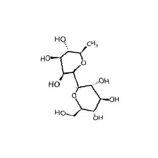 C[C@H]1OC([C]2O[C@H](CO)[C@@H](O)[C@H](O)[C@H]2O)[C@@H](O)[C@@H](O)[C@@H]1O